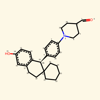 O=CC1CCN(c2ccc([C@@H]3c4ccc(O)cc4CCC34CCCCC4)cc2)CC1